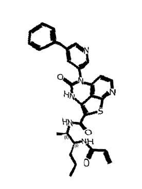 C=CC(=O)N[C@@H](CCC)[C@@H](C)NC(=O)c1sc2nccc3c2c1NC(=O)N3c1cncc(-c2ccccc2)c1